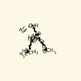 CNCCCC[C@H](NC(=O)CCCCNC(C)C)C(=O)NCCOCCOCC(C)=O